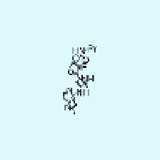 Cc1cn2c(Nc3cc([C@H]4OC[C@@H](OC(=O)NC(C)C)[C@H]4F)[nH]n3)nccc2n1